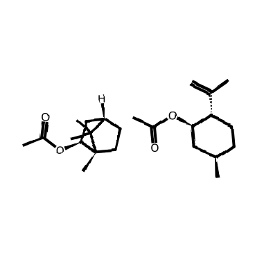 C=C(C)[C@@H]1CC[C@@H](C)C[C@H]1OC(C)=O.CC(=O)O[C@H]1C[C@@H]2CC[C@@]1(C)C2(C)C